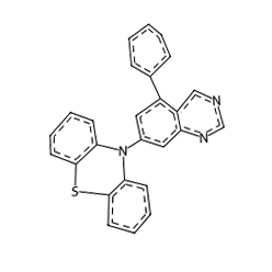 c1ccc(-c2cc(N3c4ccccc4Sc4ccccc43)cc3ncncc23)cc1